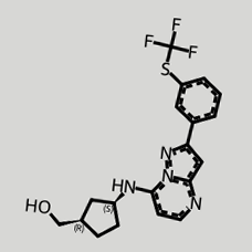 OC[C@@H]1CC[C@H](Nc2ccnc3cc(-c4cccc(SC(F)(F)F)c4)nn23)C1